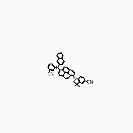 CC1(C)CN(c2ccc3ccc4c(N(c5cccc(C#N)c5)c5ccc6ccccc6c5)ccc5ccc2c3c54)c2ccc(C#N)cc21